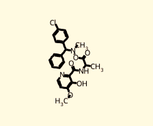 COc1ccnc(C(=O)NC(C)C(=O)ON(C)C(c2ccccc2)c2ccc(Cl)cc2)c1O